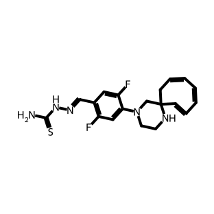 NC(=S)N/N=C/c1cc(F)c(N2CCNC3(/C=C/C=C\C=C/C3)C2)cc1F